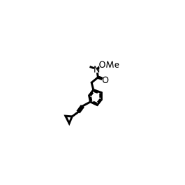 CON(C)C(=O)Cc1cccc(C#CC2CC2)c1